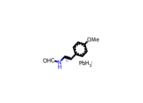 COc1ccc(/C=C/NC=O)cc1.[PbH2]